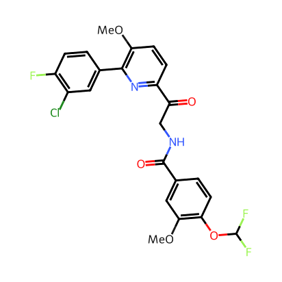 COc1cc(C(=O)NCC(=O)c2ccc(OC)c(-c3ccc(F)c(Cl)c3)n2)ccc1OC(F)F